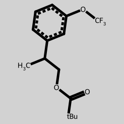 CC(COC(=O)C(C)(C)C)c1cccc(OC(F)(F)F)c1